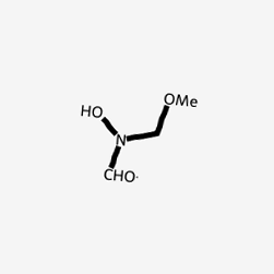 COCN(O)[C]=O